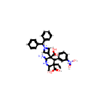 CCC1(C(=O)O)C(C)NC(N)C(C(=O)O)(C2CN(C(c3ccccc3)c3ccccc3)C2)C1c1cccc([N+](=O)[O-])c1